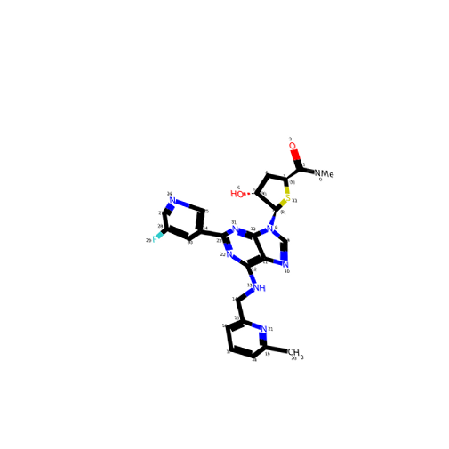 CNC(=O)[C@@H]1C[C@@H](O)[C@H](n2cnc3c(NCc4cccc(C)n4)nc(-c4cncc(F)c4)nc32)S1